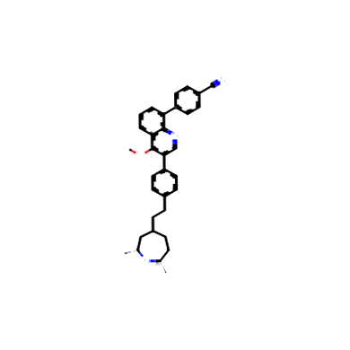 COc1c(-c2ccc(CCC3CC[C@@H](C)N[C@@H](C)C3)cc2)cnc2c(-c3ccc(C#N)cc3)cccc12